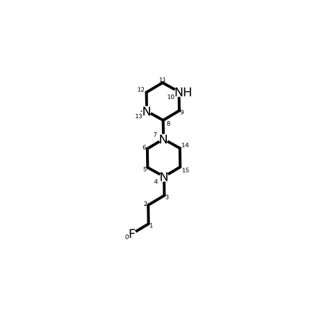 FCCCN1CCN(C2CNCC[N]2)CC1